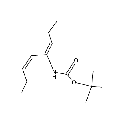 CC/C=C\C(=C/CC)NC(=O)OC(C)(C)C